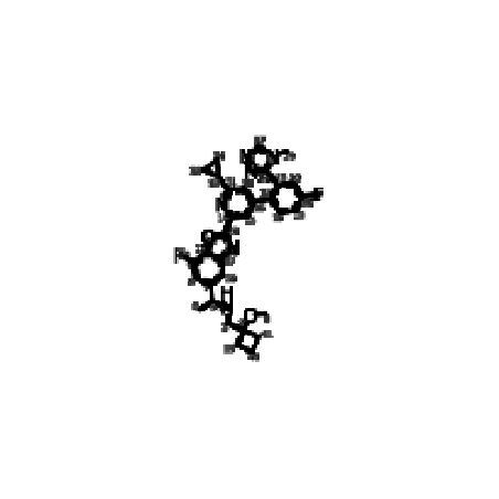 COC1(CNC(C)c2cc(F)c3oc(-c4cc(-c5ccc(F)cc5-c5nncn5C)cc(C5CC5)n4)nc3c2)CCC1